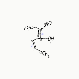 C/C=C\C(O)=C(/C)N=O